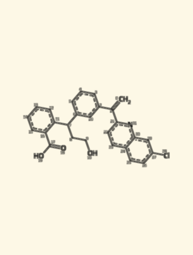 C=C(c1cccc(C(CCO)c2ccccc2C(=O)O)c1)c1ccc2ccc(Cl)cc2n1